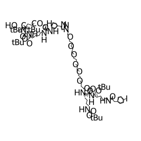 CC(C)(C)OC(=O)NCCCC[C@H](NC(=O)CCOCCOCCOCCOCCOCCOCCn1cc(-c2cccc(NC(=O)NCCCC[C@H](NC(=O)N(C(C)(C)C)[C@@](CCC(=O)O)(C(=O)O)C(C)(C)C)C(=O)OC(C)(C)C)c2)nn1)C(=O)N[C@@H](CCCCNC(=O)Cc1ccc(I)cc1)C(=O)OC(C)(C)C